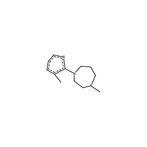 Cc1cccnc1N1CCCN(C)CC1